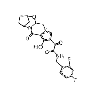 O=C(NCc1ccc(F)cc1F)C(=O)c1cn2c(c1O)C(=O)N1C3CCC(C3)OC1C2